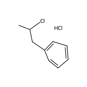 CC(Cl)Cc1ccccc1.Cl